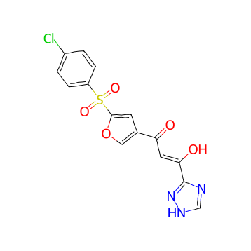 O=C(C=C(O)c1nc[nH]n1)c1coc(S(=O)(=O)c2ccc(Cl)cc2)c1